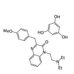 CCN(CC)CCn1c(=O)c(Cc2ccc(OC)cc2)nc2ccccc21.Oc1cc(O)cc(O)c1